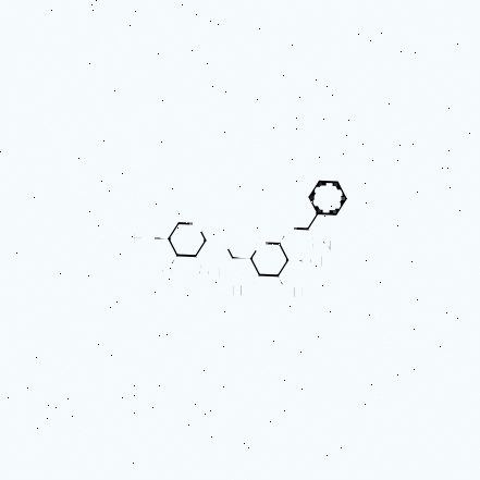 N#C[C@H](O[C@@H]1O[C@H](CO[C@H]2OC[C@H](O)[C@H](O)[C@H]2O)[C@@H](O)[C@H](O)[C@H]1O)c1ccccc1